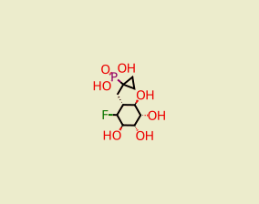 O=P(O)(O)C1(C[C@H]2C(F)[C@H](O)[C@@H](O)[C@@H](O)[C@@H]2O)CC1